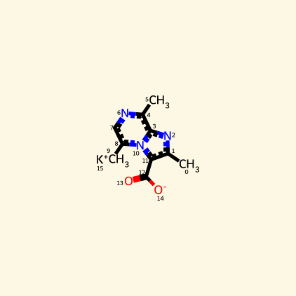 Cc1nc2c(C)ncc(C)n2c1C(=O)[O-].[K+]